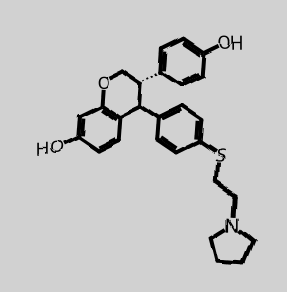 Oc1ccc([C@H]2COc3cc(O)ccc3C2c2ccc(SCCN3CCCC3)cc2)cc1